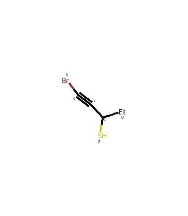 CCC(S)C#CBr